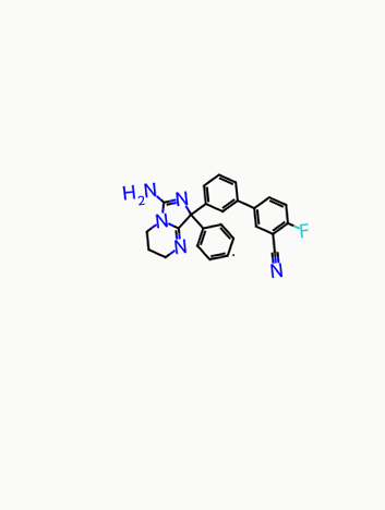 N#Cc1cc(-c2cccc(C3(c4cc[c]cc4)N=C(N)N4CCCN=C43)c2)ccc1F